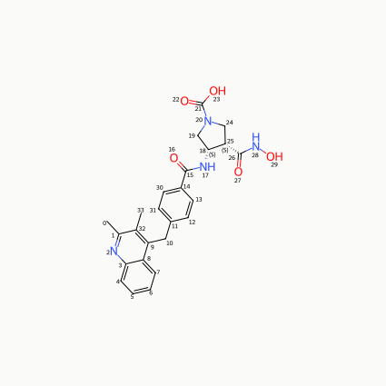 Cc1nc2ccccc2c(Cc2ccc(C(=O)N[C@@H]3CN(C(=O)O)C[C@@H]3C(=O)NO)cc2)c1C